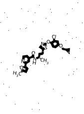 Cc1ccc(-c2cc(C(=O)N[C@@H](C)/C=C/c3cnc(Oc4ccc(OCC5CC5)cc4Cl)s3)ccn2)o1